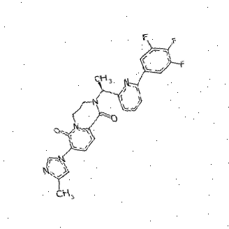 Cc1cn(-c2ccc3n(c2=O)CCN([C@@H](C)c2cccc(-c4cc(F)c(F)c(F)c4)n2)C3=O)cn1